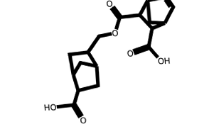 O=C(O)C1CC2CC1CC2COC(=O)C1C2C=CC(C2)C1C(=O)O